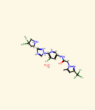 Cc1cc(C(F)(F)F)nn1CC(=O)Nc1cnc(-n2cnc([C@@H]3CC(F)(F)CN3)n2)c(F)c1.O